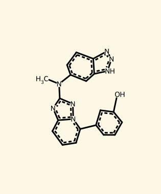 CN(c1ccc2nn[nH]c2c1)c1nc2cccc(-c3cccc(O)c3)n2n1